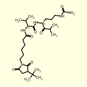 CC(C)C(=O)[C@H](CCCNC(N)=O)NC(=O)[C@@H](NC(=O)CCCCCN1C(=O)CC(C(C)(C)C)C1=O)C(C)C